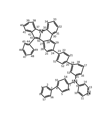 c1ccc(-c2ccc(N(c3ccncc3)c3cccc(-c4ccc(-c5ccc6c(c5)c5ccccc5n5c7ccccc7c(-c7ccccc7)c65)cc4)c3)cc2)cc1